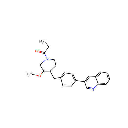 CCC(=O)N1CCC(Cc2ccc(-c3cnc4ccccc4c3)cc2)C(OC)C1